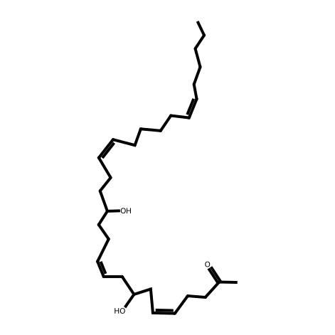 CCCCC/C=C\CCCC/C=C\CCC(O)CC/C=C\CC(O)C/C=C\CCC(C)=O